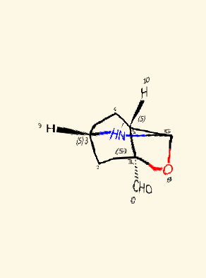 O=C[C@]12C[C@@H]3C[C@@H]1C(N3)O2